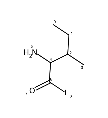 CCC(C)C(N)C(=O)I